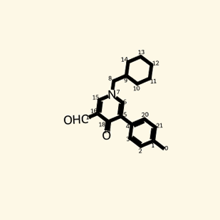 Cc1ccc(-c2cn(CC3CCCCC3)cc(C=O)c2=O)cc1